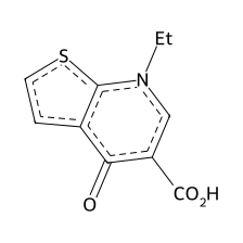 CCn1cc(C(=O)O)c(=O)c2ccsc21